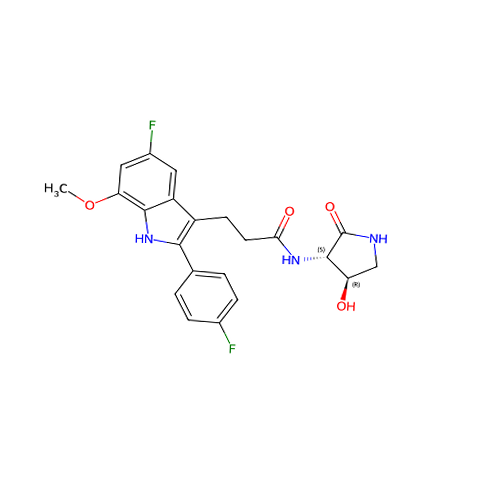 COc1cc(F)cc2c(CCC(=O)N[C@@H]3C(=O)NC[C@H]3O)c(-c3ccc(F)cc3)[nH]c12